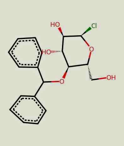 OC[C@H]1O[C@H](Cl)[C@H](O)[C@@H](O)[C@@H]1OC(c1ccccc1)c1ccccc1